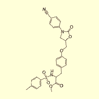 COC(=O)C(Cc1ccc(OCC2CN(c3ccc(C#N)cc3)C(=O)O2)cc1)NS(=O)(=O)c1ccc(C)cc1